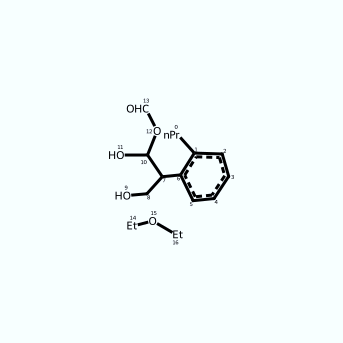 CCCc1ccccc1C(CO)C(O)OC=O.CCOCC